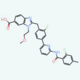 COCCn1c(Cc2ccc(-c3cccc(NC(=O)c4ccc(C)cc4F)n3)cc2F)nc2ccc(C(=O)O)cc21